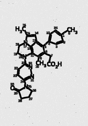 Cc1ccc(-c2c(CC(=O)O)c(C)c3c4c2cc(C)n4CCN3c2ccc(N3CCCC3=O)nn2)cc1